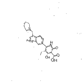 CCc1c(-c2ccc3c(CN4CCCC4)c[nH]c3c2)[nH]c(=O)c(C(=O)O)c1O